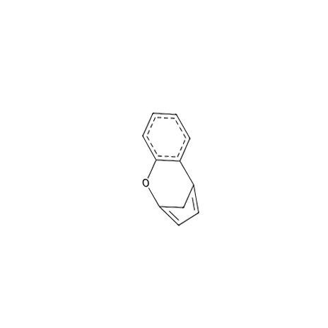 C1=C2CC(=C1)c1ccccc1O2